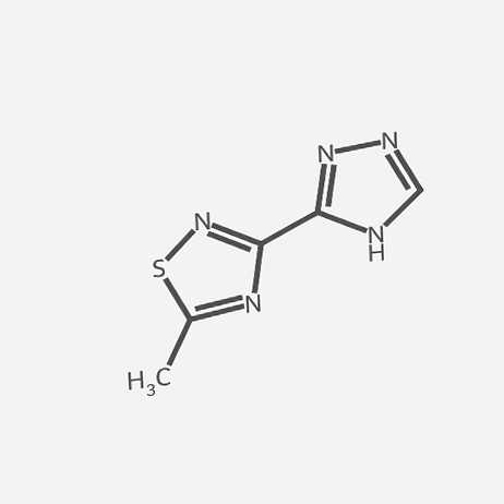 Cc1nc(-c2nnc[nH]2)ns1